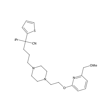 COCc1cccc(OCCN2CCN(CCCC(C#N)(c3cccs3)C(C)C)CC2)n1